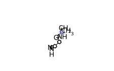 C=C/C=C(\C=C/C)CNC(=O)c1cccc(-c2ccc3[nH]ncc3c2)c1